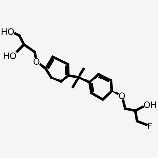 CC(C)(C1=CC[C@H](OCC(O)CF)C=C1)C1=CC=C(OCC(O)CO)CC1